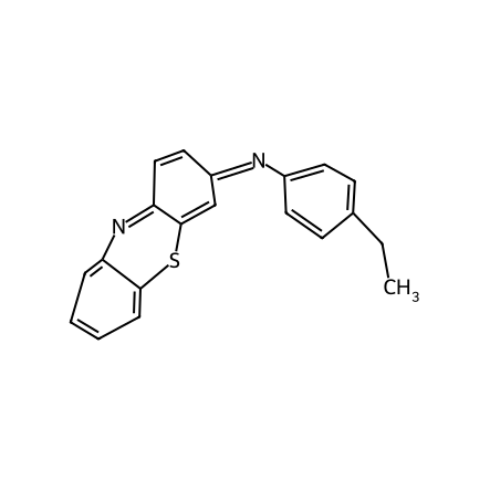 CCc1ccc(N=c2ccc3nc4ccccc4sc-3c2)cc1